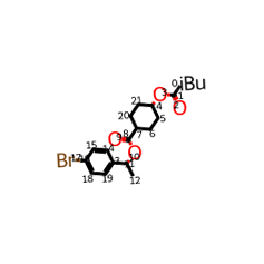 CCC(C)C(=O)OC1CCC(C(=O)OC(C)c2ccc(Br)cc2)CC1